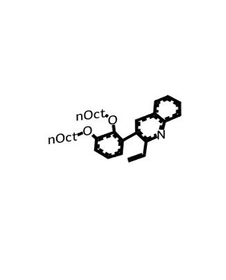 C=Cc1nc2ccccc2cc1-c1cccc(OCCCCCCCC)c1OCCCCCCCC